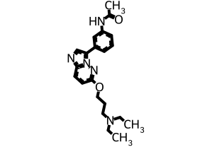 CCN(CC)CCCOc1ccc2ncc(-c3cccc(NC(C)=O)c3)n2n1